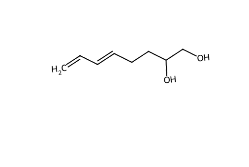 C=CC=CCCC(O)CO